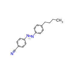 CCCCc1ccc(/N=N/c2ccc(C#N)cc2)cc1